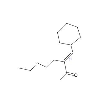 CCCCC/C(=C\C1CCCCC1)C(C)=O